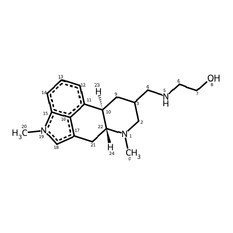 CN1CC(CNCCO)C[C@@H]2c3cccc4c3c(cn4C)C[C@H]21